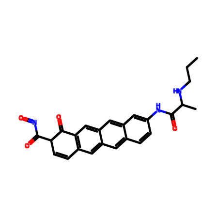 CCCNC(C)C(=O)Nc1ccc2cc3cc4c(cc3cc2c1)C(=O)C(C(=O)N=O)C=C4